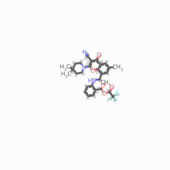 Cc1cc(C(C)Nc2ccccc2C(=O)OC(=O)C(F)(F)F)c2oc(N3CCC(C)(C)CC3)c(C#N)c(=O)c2c1